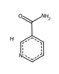 NC(=O)c1cccnc1.[H]